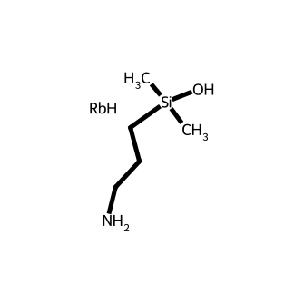 C[Si](C)(O)CCCN.[RbH]